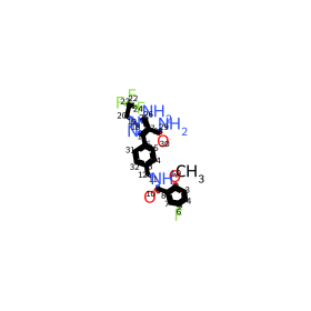 COc1ccc(F)cc1C(=O)NCc1ccc(-c2nn(CC(F)(F)F)c(N)c2C(N)=O)cc1